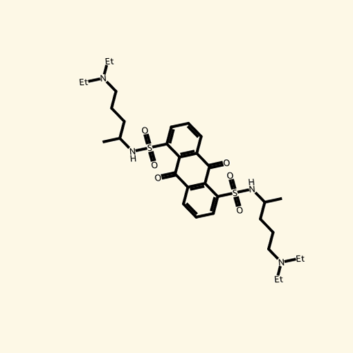 CCN(CC)CCCC(C)NS(=O)(=O)c1cccc2c1C(=O)c1cccc(S(=O)(=O)NC(C)CCCN(CC)CC)c1C2=O